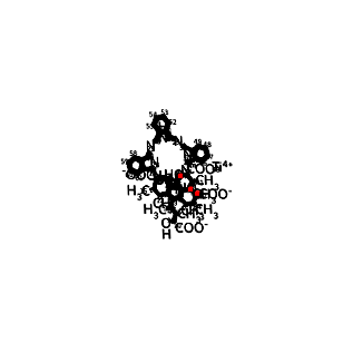 CC(c1c(C(C)C(C)C(O)C(=O)[O-])c([C@H](C)[C@@H](C)C(O)C(=O)[O-])c2c3nc4nc(nc5[nH]c(nc6nc(nc([nH]3)c2c1C(C)C(C)C(O)C(=O)[O-])-c1ccccc1-6)c1ccccc51)-c1ccccc1-4)C(C)C(O)C(=O)[O-].[Ti+4]